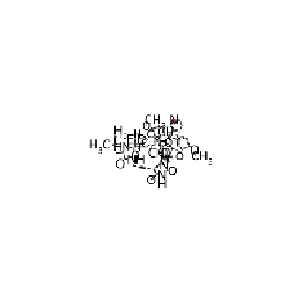 COc1ccc(C(CC23COC([C@H](n4cc(C#CCNC(=O)C(CC(C)C)NC(=O)C(F)(F)F)c(=O)[nH]c4=O)O2)[C@H]3OP(OCCC#N)N(C(C)C)C(C)C)(c2ccccc2)c2ccc(OC)cc2)cc1